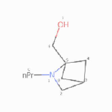 CCCN1CC2CC1(CO)C2